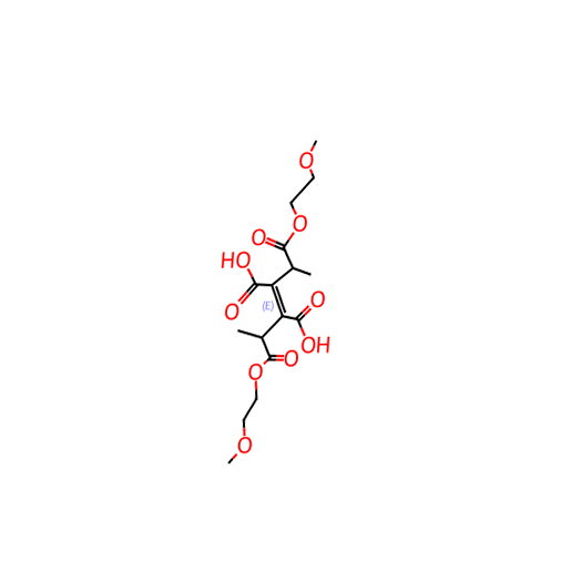 COCCOC(=O)C(C)/C(C(=O)O)=C(\C(=O)O)C(C)C(=O)OCCOC